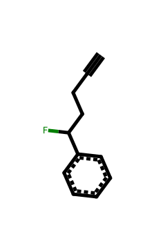 C#CCCC(F)c1ccccc1